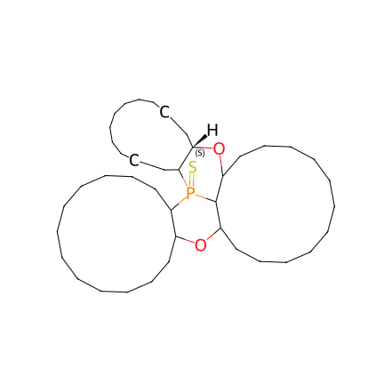 S=P12C3CCCCCCCCCCCCC3OC3CCCCCCCCCCCC(O[C@H]4CCCCCCCCCCCC41)C32